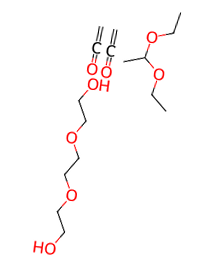 C=C=O.C=C=O.CCOC(C)OCC.OCCOCCOCCO